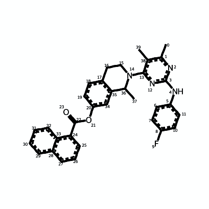 Cc1nc(Nc2ccc(F)cc2)nc(N2CCc3ccc(OC(=O)c4cccc5ccccc45)cc3C2C)c1C